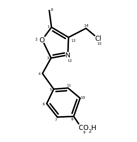 Cc1oc(Cc2ccc(C(=O)O)cc2)nc1CCl